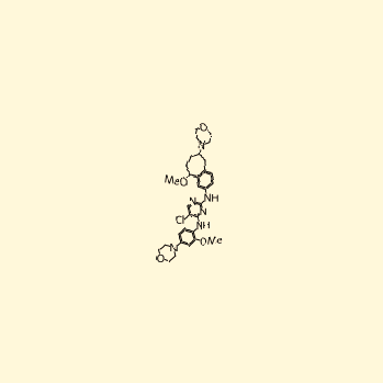 COc1cc(N2CCOCC2)ccc1Nc1nc(Nc2ccc3c(c2)C(OC)CCC(N2CCOCC2)C3)ncc1Cl